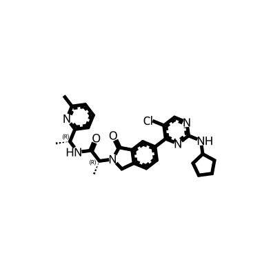 Cc1cccc([C@@H](C)NC(=O)[C@@H](C)N2Cc3ccc(-c4nc(NC5CCCC5)ncc4Cl)cc3C2=O)n1